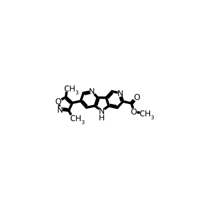 COC(=O)c1cc2[nH]c3cc(-c4c(C)noc4C)cnc3c2cn1